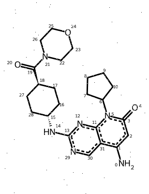 Nc1cc(=O)n(C2CCCC2)c2nc(N[C@H]3CC[C@H](C(=O)N4CCOCC4)CC3)ncc12